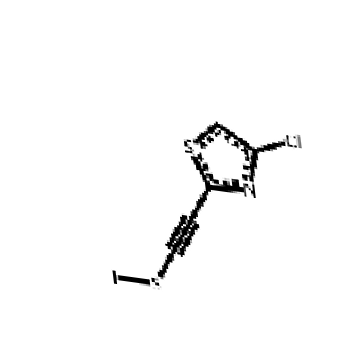 Clc1csc(C#CSI)n1